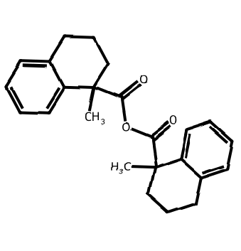 CC1(C(=O)OC(=O)C2(C)CCCc3ccccc32)CCCc2ccccc21